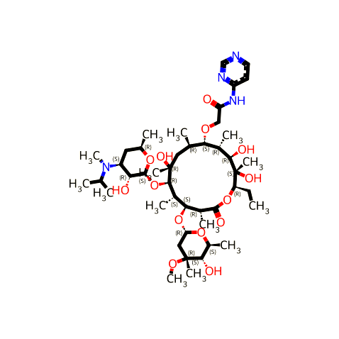 CC[C@H]1OC(=O)[C@H](C)[C@@H](O[C@H]2C[C@@](C)(OC)[C@@H](O)[C@H](C)O2)[C@H](C)[C@@H](O[C@@H]2O[C@H](C)C[C@H](N(C)C(C)C)[C@H]2O)[C@](C)(O)C[C@@H](C)[C@H](OCC(=O)Nc2ccncn2)[C@H](C)[C@@H](O)[C@]1(C)O